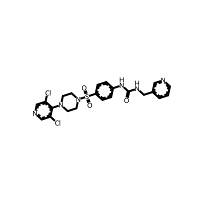 O=C(NCc1cccnc1)Nc1ccc(S(=O)(=O)N2CCN(c3c(Cl)cncc3Cl)CC2)cc1